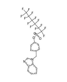 O=S(=O)(Oc1ccc(Cn2cnc3ccccc32)cc1)C(F)(F)C(F)(F)C(F)(F)C(F)(F)C(F)(F)C(F)(F)F